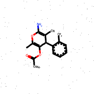 COC(=O)OC1=C(C)OC(N)=C(C#N)C1c1ccccc1C(F)(F)F